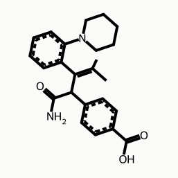 CC(C)=C(c1ccccc1N1CCCCC1)C(C(N)=O)c1ccc(C(=O)O)cc1